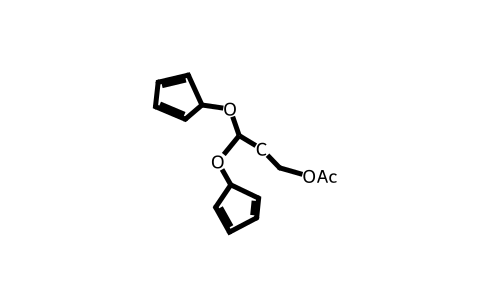 CC(=O)OCCC(OC1C=CC=C1)OC1C=CC=C1